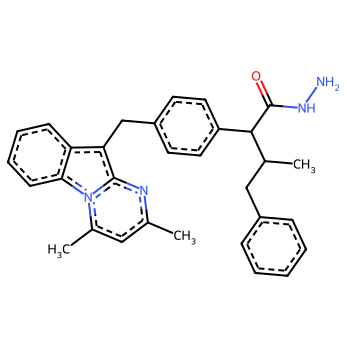 Cc1cc(C)n2c(n1)c(Cc1ccc(C(C(=O)NN)C(C)Cc3ccccc3)cc1)c1ccccc12